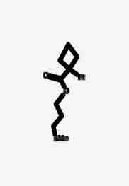 CCC1(C(=O)OCCCSC)CCC1